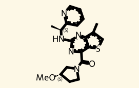 CO[C@H]1CCN(C(=O)c2nc(N[C@@H](C)c3ccccn3)nc3c(C)csc23)C1